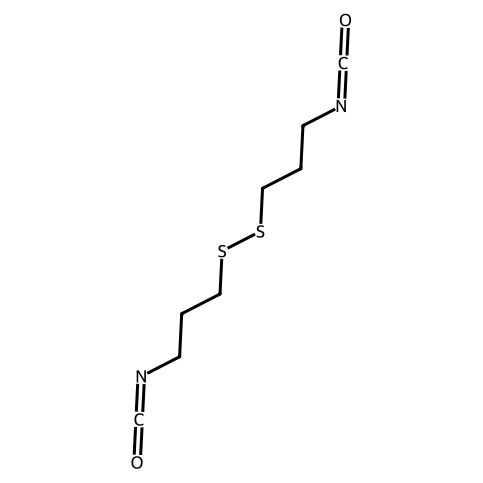 O=C=NCCCSSCCCN=C=O